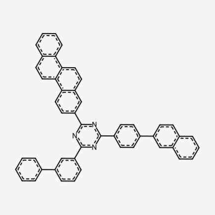 c1ccc(-c2cccc(-c3nc(-c4ccc(-c5ccc6ccccc6c5)cc4)nc(-c4ccc5c(ccc6c7ccccc7ccc56)c4)n3)c2)cc1